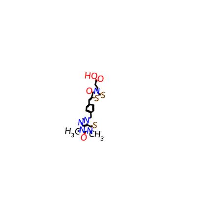 Cn1c(=S)c2c(ncn2Cc2ccc(/C=C3\SC(=S)N(CCC(=O)O)C3=O)cc2)n(C)c1=O